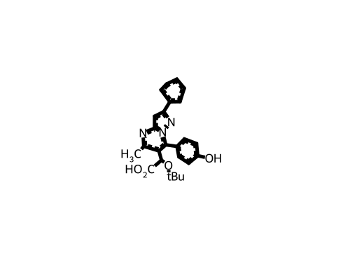 Cc1nc2cc(-c3ccccc3)nn2c(-c2ccc(O)cc2)c1C(OC(C)(C)C)C(=O)O